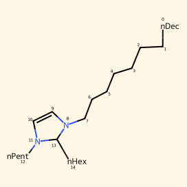 CCCCCCCCCCCCCCCCCN1C=CN(CCCCC)C1CCCCCC